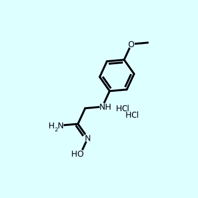 COc1ccc(NCC(N)=NO)cc1.Cl.Cl